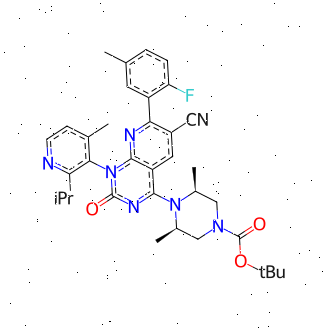 Cc1ccc(F)c(-c2nc3c(cc2C#N)c(N2[C@H](C)CN(C(=O)OC(C)(C)C)C[C@@H]2C)nc(=O)n3-c2c(C)ccnc2C(C)C)c1